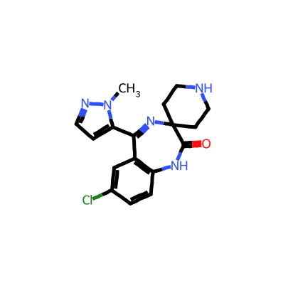 Cn1nccc1C1=NC2(CCNCC2)C(=O)Nc2ccc(Cl)cc21